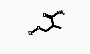 CCOCC(C)C(N)=O